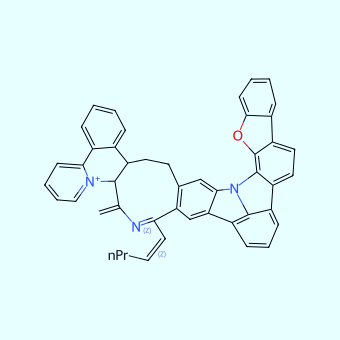 C=C1/N=C(/C=C\CCC)c2cc3c4cccc5c6ccc7c8ccccc8oc7c6n(c3cc2CCC2c3ccccc3-c3cccc[n+]3C12)c45